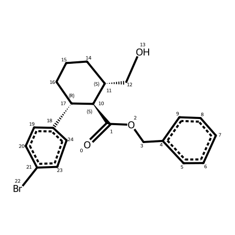 O=C(OCc1ccccc1)[C@@H]1[C@@H](CO)CCC[C@H]1c1ccc(Br)cc1